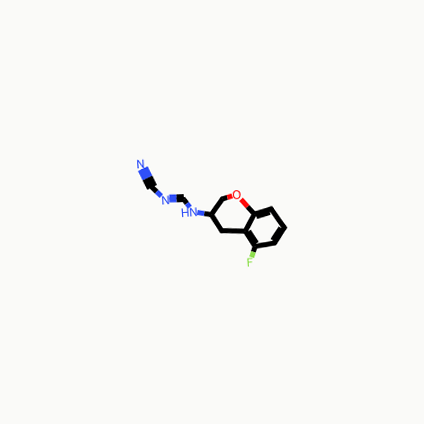 N#CN=CNC1COc2cccc(F)c2C1